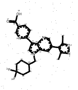 Cc1noc(C)c1-c1cnc2c(-c3ccc(C(=O)O)cn3)cn(CC3CCC(F)(F)CC3)c2c1